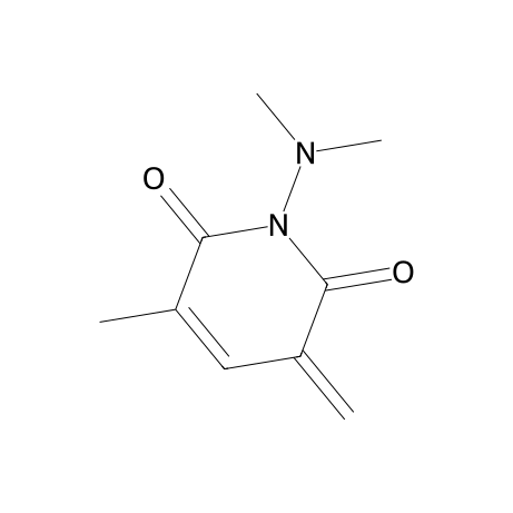 C=C1C=C(C)C(=O)N(N(C)C)C1=O